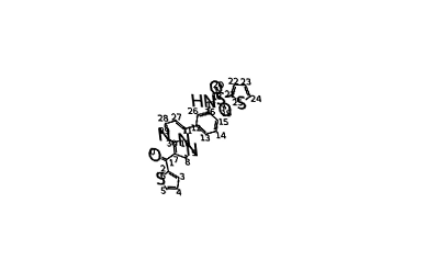 O=C(c1cccs1)c1cnn2c(-c3cccc(NS(=O)(=O)c4cccs4)c3)ccnc12